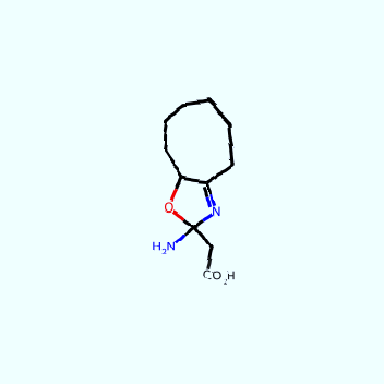 NC1(CC(=O)O)N=C2CCCCCCC2O1